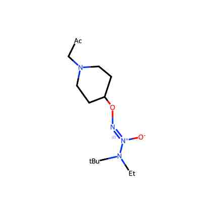 CCN(/[N+]([O-])=N/OC1CCN(CC(C)=O)CC1)C(C)(C)C